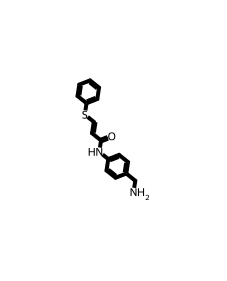 NCc1ccc(NC(=O)C=CSc2ccccc2)cc1